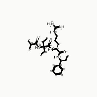 CC[C@H](NC(=O)[C@H](CCCNC(=N)N)NC(=O)C(CC)(CC)NC(=O)C(C)C)c1ccccc1